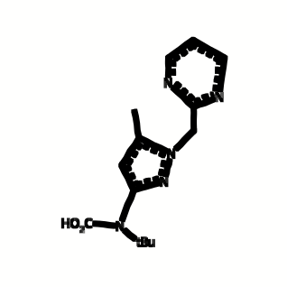 Cc1cc(N(C(=O)O)C(C)(C)C)nn1Cc1ncccn1